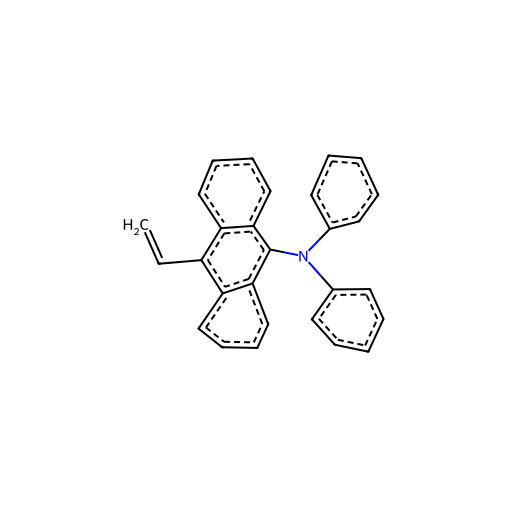 C=Cc1c2ccccc2c(N(c2ccccc2)c2ccccc2)c2ccccc12